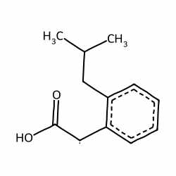 CC(C)Cc1ccccc1[CH]C(=O)O